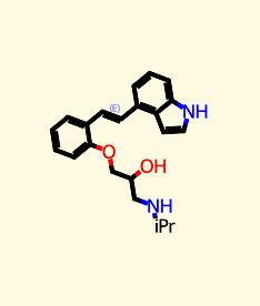 CC(C)NCC(O)COc1ccccc1/C=C/c1cccc2[nH]ccc12